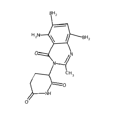 Bc1cc(B)c2nc(C)n(C3CCC(=O)NC3=O)c(=O)c2c1N